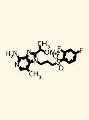 COC(C)c1nc2c(N)ncc(C)c2n1CCCS(=O)(=O)c1ccc(F)cc1F